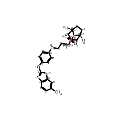 Cc1ccc2nc(Oc3ccc(OCCN[C@H]4C[C@H]5CC[C@@H](C4)N5S(C)(=O)=O)cc3)sc2c1